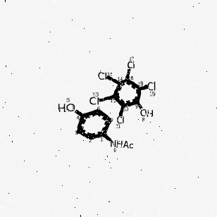 CC(=O)Nc1ccc(O)cc1.Oc1c(Cl)c(Cl)c(Cl)c(Cl)c1Cl